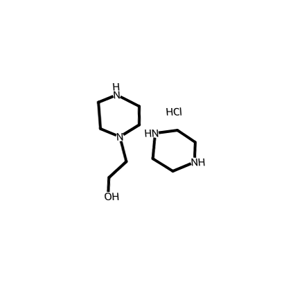 C1CNCCN1.Cl.OCCN1CCNCC1